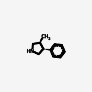 C[C@@H]1CNC[C@H]1c1ccccc1